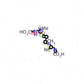 COc1nc(O[C@H]2CCc3c(-c4cccc(-c5nc6cc(CN7CC[C@H](C(=O)O)C7)cc(C#N)c6s5)c4C)cccc32)c(Cl)cc1CNC[C@@H](O)CC(=O)O